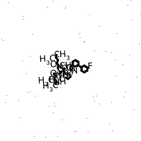 CN[C@@H](C)C(=O)N[C@@H](CN(C)C(=O)CC(C)C)C(=O)N1C(C)CC[C@H]1c1nc2c(-c3cccc(F)c3)cccc2o1